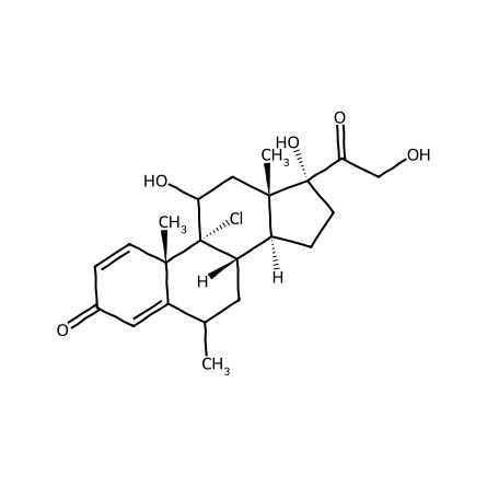 CC1C[C@H]2[C@@H]3CC[C@](O)(C(=O)CO)[C@@]3(C)CC(O)[C@]2(Cl)[C@@]2(C)C=CC(=O)C=C12